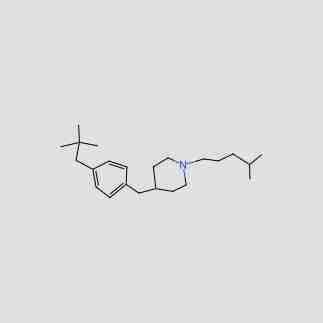 CC(C)CCCN1CCC(Cc2ccc(CC(C)(C)C)cc2)CC1